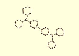 C1=CCC(N(C2=CCCC=C2)c2ccc(-c3ccc(N(c4ccccc4)c4ccccc4)cc3)cc2)C=C1